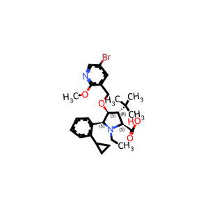 CCN1[C@H](C(=O)O)[C@@H](C(C)(C)C)[C@H](OCc2cc(Br)cnc2OC)[C@@H]1c1ccccc1C1CC1